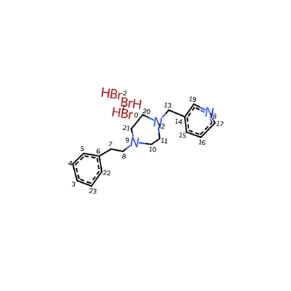 Br.Br.Br.c1ccc(CCN2CCN(Cc3cccnc3)CC2)cc1